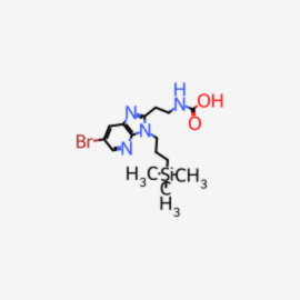 C[Si](C)(C)CCCn1c(CCNC(=O)O)nc2cc(Br)cnc21